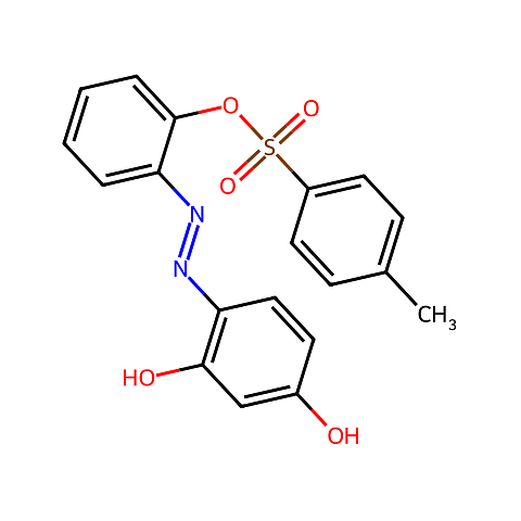 Cc1ccc(S(=O)(=O)Oc2ccccc2N=Nc2ccc(O)cc2O)cc1